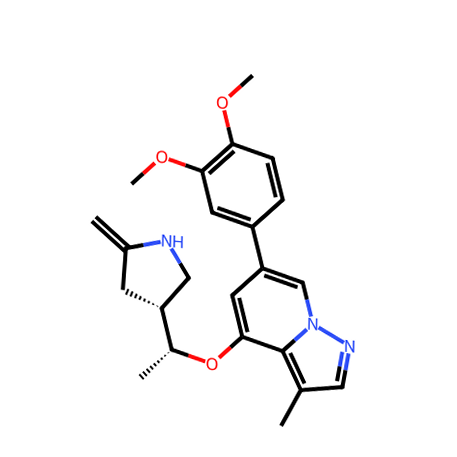 C=C1C[C@@H]([C@@H](C)Oc2cc(-c3ccc(OC)c(OC)c3)cn3ncc(C)c23)CN1